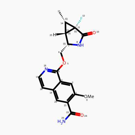 COc1cc2c(OC[C@H]3NC(=O)[C@@]4(F)[C@H]3[C@@H]4C)nccc2cc1C(N)=O